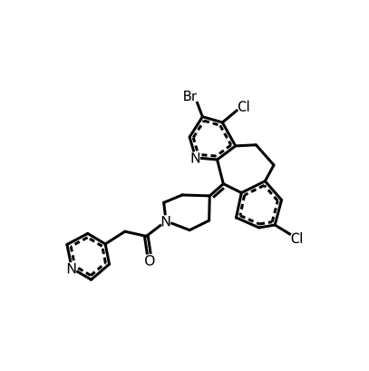 O=C(Cc1ccncc1)N1CCC(=C2c3ccc(Cl)cc3CCc3c2ncc(Br)c3Cl)CC1